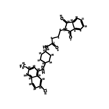 O=C(CCCN1C(=O)c2ccccc2C1=O)NC1CCC(Nc2cc(C(F)(F)F)nc3ccc(Cl)cc23)CC1